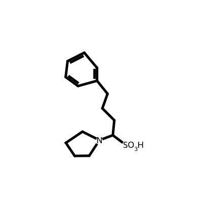 O=S(=O)(O)C(CCCc1ccccc1)N1CCCC1